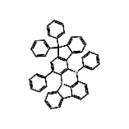 c1ccc(-c2cc3c(c4c2-n2c5ccccc5c5cccc(c52)N4c2ccccc2)-c2ccccc2C3(c2ccccc2)c2ccccc2)cc1